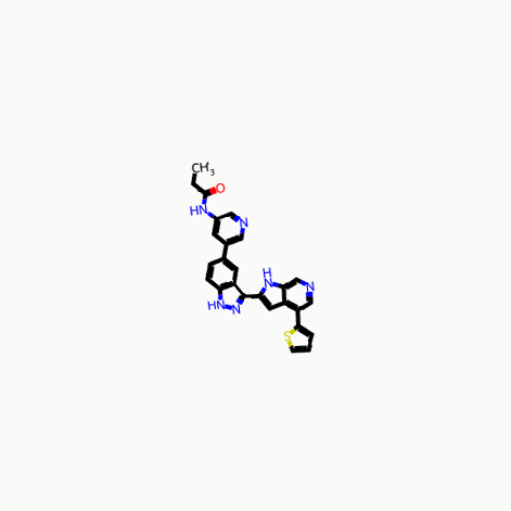 CCC(=O)Nc1cncc(-c2ccc3[nH]nc(-c4cc5c(-c6cccs6)cncc5[nH]4)c3c2)c1